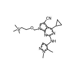 Cc1c(Nc2nc(C3CC3)c3c(C#N)cn(COCC[Si](C)(C)C)c3n2)cnn1C